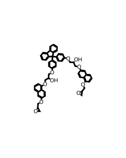 OC(COc1ccc(C2(c3ccc(OCC(O)COc4cccc5cc(OCC6CO6)ccc45)cc3)c3ccccc3-c3ccccc32)cc1)COc1ccc2c(OCC3CO3)cccc2c1